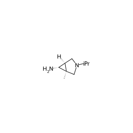 CC(C)N1C[C@@H]2[C@@H](N)[C@]2(C)C1